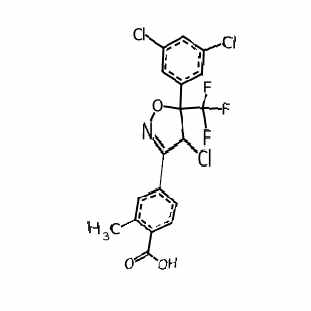 Cc1cc(C2=NOC(c3cc(Cl)cc(Cl)c3)(C(F)(F)F)C2Cl)ccc1C(=O)O